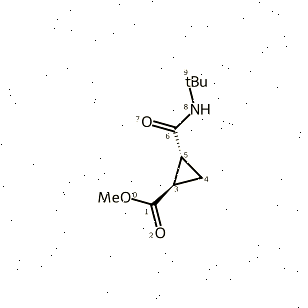 COC(=O)[C@@H]1C[C@H]1C(=O)NC(C)(C)C